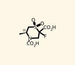 C[C@H]1CS(=O)(=O)C(F)(C(=O)O)CN1C(=O)O